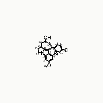 COc1cc(Br)c2c(Sc3ccc(Cl)cc3)c3n(c2c1)CCC3CC(=O)O